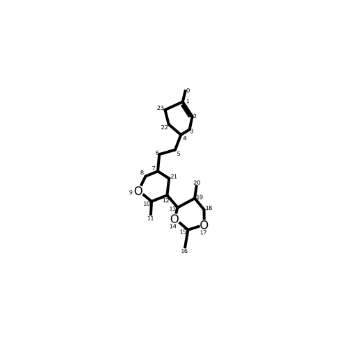 CC1=CCC(CCC2COC(C)C(C3OC(C)OCC3C)C2)CC1